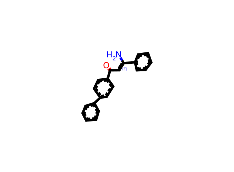 N/C(=C\C(=O)c1ccc(-c2ccccc2)cc1)c1ccccc1